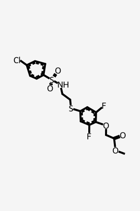 COC(=O)COc1c(F)cc(SCCNS(=O)(=O)c2ccc(Cl)cc2)cc1F